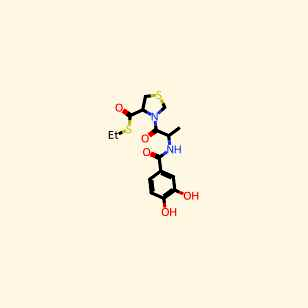 CCSC(=O)C1CSCN1C(=O)C(C)NC(=O)c1ccc(O)c(O)c1